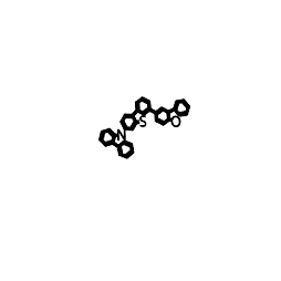 C1=CC2Oc3ccccc3C2C=C1c1cccc2c1sc1cc(-n3c4ccccc4c4ccccc43)ccc12